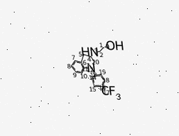 OCCN[C@H]1Cc2ccccc2N(c2ccc(C(F)(F)F)cc2)C1